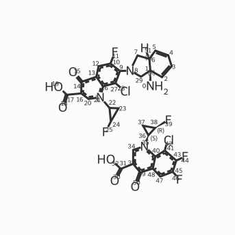 N[C@]12C=CC=C[C@H]1CN(c1c(F)cc3c(=O)c(C(=O)O)cn(C4CC4F)c3c1Cl)C2.O=C(O)c1cn([C@H]2C[C@H]2F)c2c(Cl)c(F)c(F)cc2c1=O